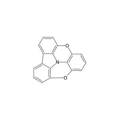 c1cc2c3c(c1)Oc1cccc4c5cccc(c5n-3c14)O2